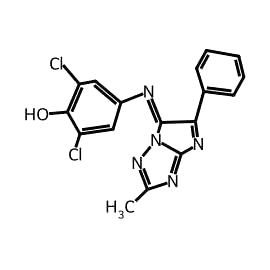 Cc1nc2n(n1)/C(=N\c1cc(Cl)c(O)c(Cl)c1)C(c1ccccc1)=N2